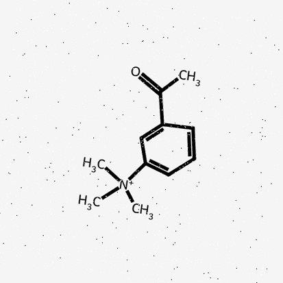 CC(=O)c1cccc([N+](C)(C)C)c1